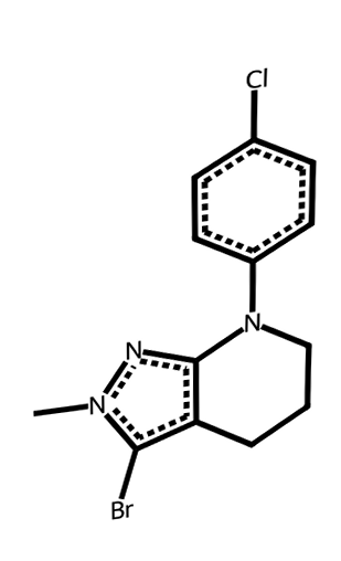 Cn1nc2c(c1Br)CCCN2c1ccc(Cl)cc1